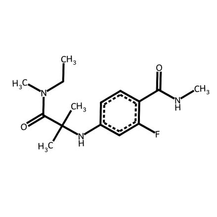 CCN(C)C(=O)C(C)(C)Nc1ccc(C(=O)NC)c(F)c1